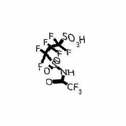 O=C(NS(=O)(=O)C(F)(F)C(F)(F)C(F)(F)S(=O)(=O)O)C(F)(F)F